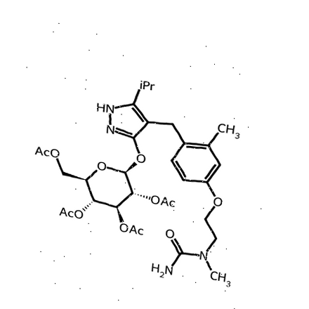 CC(=O)OC[C@H]1O[C@@H](Oc2n[nH]c(C(C)C)c2Cc2ccc(OCCN(C)C(N)=O)cc2C)[C@H](OC(C)=O)[C@@H](OC(C)=O)[C@@H]1OC(C)=O